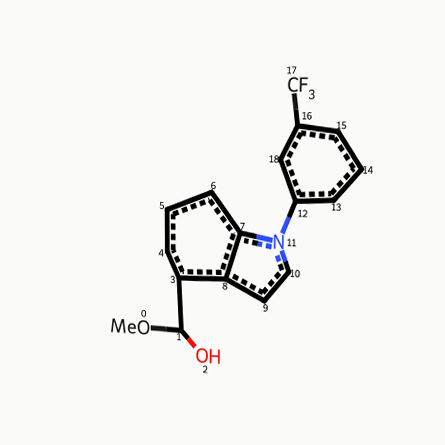 COC(O)c1cccc2c1ccn2-c1cccc(C(F)(F)F)c1